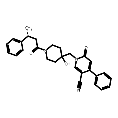 C[C@H](CC(=O)N1CCC(O)(Cn2cc(C#N)c(-c3ccccc3)cc2=O)CC1)c1ccccc1